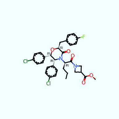 CCC[C@H](C(=O)N1CC(C(=O)OC)C1)N1C(=O)[C@H](Cc2ccc(F)cc2)O[C@@H](c2ccc(Cl)cc2)[C@H]1c1ccc(Cl)cc1